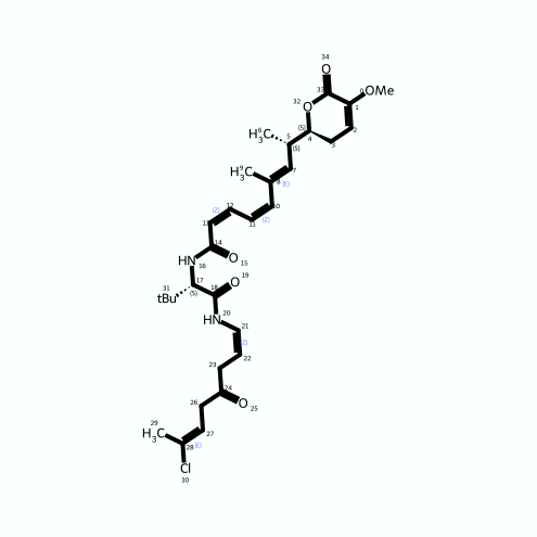 COC1=CC[C@@H]([C@@H](C)/C=C(C)/C=C\C=C/C(=O)N[C@H](C(=O)N/C=C\CC(=O)C/C=C(\C)Cl)C(C)(C)C)OC1=O